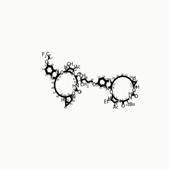 CC[C@@H]1[C@@H]2CN(C(=O)[C@H](C(C)(C)C)NC(=O)O[C@@H]3C[C@H]3CCCCCc3nc4ccc(OCCCC(C)(C)[C@@H]5NC(=O)O[C@@H]6CC7CC7[C@H]6CCCCCc6nc7ccc(OCC(F)(F)F)cc7nc6O[C@H]6CN(C5=O)[C@H](C(C)=O)[C@@H]6C)cc4nc3O2)[C@@H]1C(C)=O